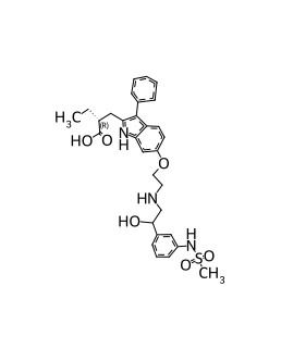 CC[C@H](Cc1[nH]c2cc(OCCNCC(O)c3cccc(NS(C)(=O)=O)c3)ccc2c1-c1ccccc1)C(=O)O